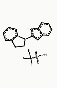 O=S(=O)(O)C(F)(F)F.c1ccc2c(c1)CCN2c1cc2ccccc2[nH]1